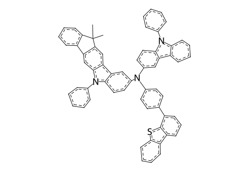 CC1(C)c2ccccc2-c2cc3c(cc21)c1cc(N(c2ccc(-c4cccc5c4sc4ccccc45)cc2)c2ccc4c(c2)c2ccccc2n4-c2ccccc2)ccc1n3-c1ccccc1